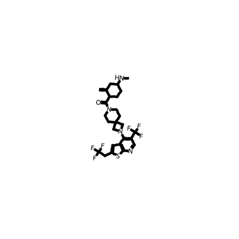 C=C1CC(NC)CCC1C(=O)N1CCC2(CC1)CN(c1c(C(F)(F)F)cnc3sc(CC(F)(F)F)cc13)C2